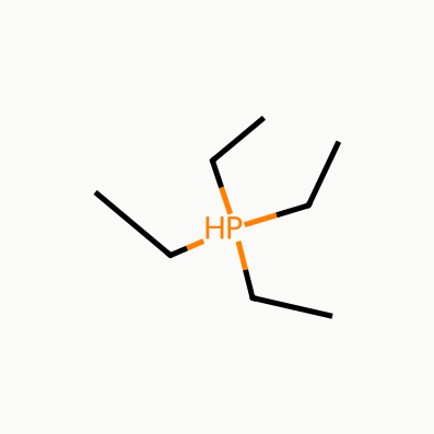 CC[PH](CC)(CC)CC